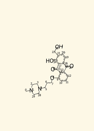 CN1CCN(CCCOc2cccc3c2C(=O)c2c(ccc(CO)c2O)C3=O)CC1